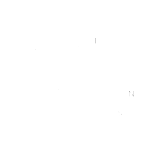 Cc1ccc(F)c(-c2cnsc2)c1